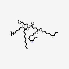 CC/C=C\CCCCOC(CCC(=O)OCC(COC)N(CCCCN(C)C)C(=O)CCCCCCCC)OCCCC/C=C\CC